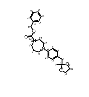 CC1(Cc2ccc(N3CCCN(C(=O)OCc4ccccc4)CC3)cc2)OCCO1